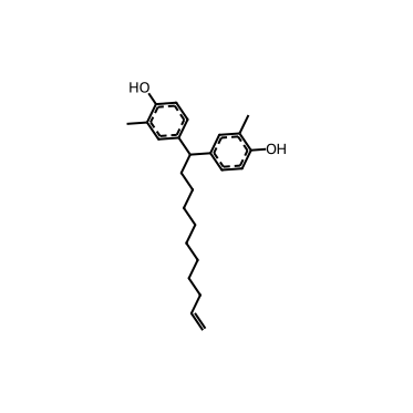 C=CCCCCCCCCC(c1ccc(O)c(C)c1)c1ccc(O)c(C)c1